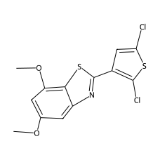 COc1cc(OC)c2sc(-c3cc(Cl)sc3Cl)nc2c1